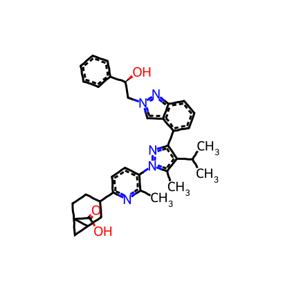 Cc1nc(C2CCC3(C(=O)O)CC3C2)ccc1-n1nc(-c2cccc3nn(C[C@H](O)c4ccccc4)cc23)c(C(C)C)c1C